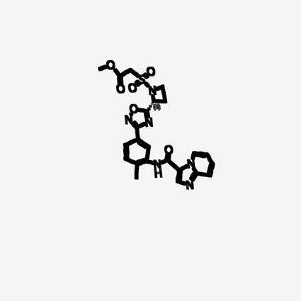 COC(=O)CS(=O)(=O)N1CC[C@@H]1c1nc(-c2ccc(C)c(NC(=O)c3cnc4ccccn34)c2)no1